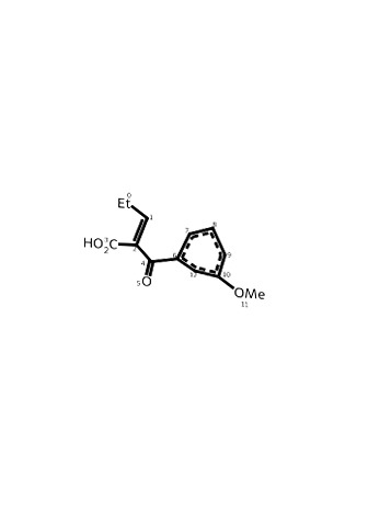 CCC=C(C(=O)O)C(=O)c1cccc(OC)c1